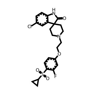 O=C1Nc2ccc(Cl)cc2C12CCN(CCOc1ccc(S(=O)(=O)C3CC3)c(F)c1)CC2